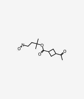 CC(=O)C1CC(C(=O)OC(C)(C)CCN=O)C1